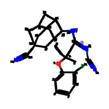 CC(C)(Oc1ccccc1F)/C(=N\C#N)NC1C2CC3CC1CC(C#N)(C3)C2